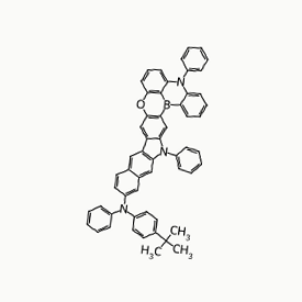 CC(C)(C)c1ccc(N(c2ccccc2)c2ccc3cc4c5cc6c(cc5n(-c5ccccc5)c4cc3c2)B2c3ccccc3N(c3ccccc3)c3cccc(c32)O6)cc1